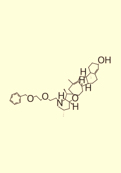 CC1=C2C[C@H]3[C@@H](CCC4=C[C@@H](O)CC[C@@]43C)[C@@H]2CCC2(C1)O[C@@H]1C[C@H](C)CN(CCOCCOCc3ccccc3)[C@H]1[C@H]2C